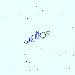 Clc1ccc2c(c1)nc1n2C2CC(C1)N(C1CCC1)C2